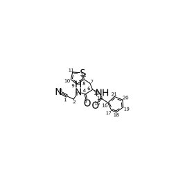 N#CCNC(=O)C(Cc1cccs1)NC(=O)c1ccccc1